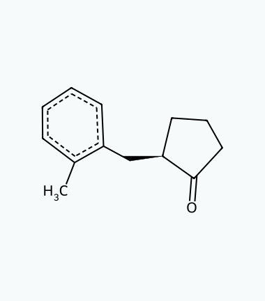 Cc1ccccc1C[C@H]1CCCC1=O